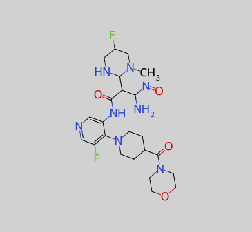 CN1CC(F)CNC1C(C(=O)Nc1cncc(F)c1N1CCC(C(=O)N2CCOCC2)CC1)C(N)N=O